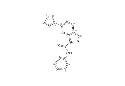 O=C(Nc1ccccc1)c1cnc2ccc(-c3ccoc3)nn12